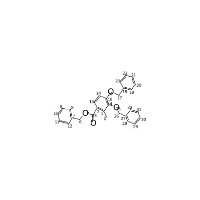 Cc1c(C(=O)OCc2ccccc2)ccc(OCc2ccccc2)c1OCc1ccccc1